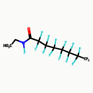 O=C(O)CN(F)C(=O)C(F)(F)C(F)(F)C(F)(F)C(F)(F)C(F)(F)C(F)(F)C(F)(F)F